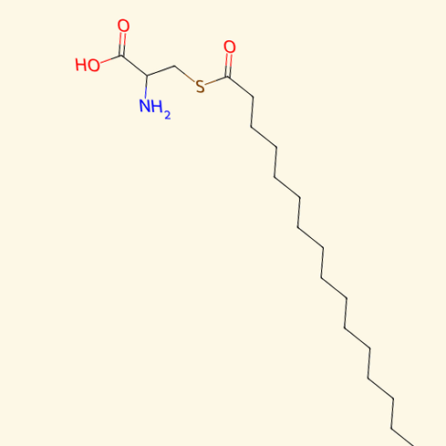 CCCCCCCCCCCCCCCC(=O)SCC(N)C(=O)O